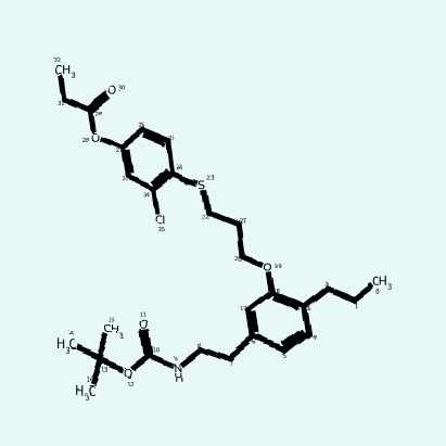 CCCc1ccc(CCNC(=O)OC(C)(C)C)cc1OCCCSc1ccc(OC(=O)CC)cc1Cl